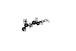 CCOC(=O)CC1CCc2c1[nH]c1ccc(-c3noc(-c4cc(OC(F)(F)F)cc(-c5cccnc5)c4)n3)cc21